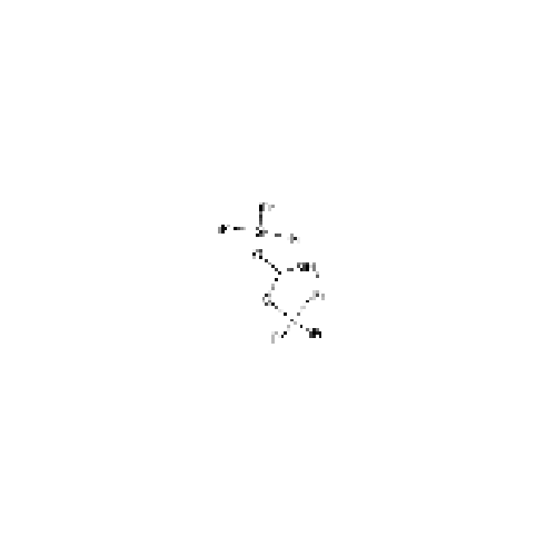 CC(C)[Si](OC([SiH3])O[Si](C(C)C)(C(C)C)C(C)C)(C(C)C)C(C)C